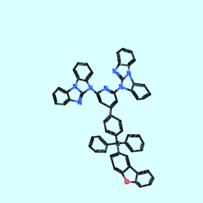 c1ccc([Si](c2ccccc2)(c2ccc(-c3cc(-n4c5ccccc5n5c6ccccc6nc45)nc(-n4c5ccccc5n5c6ccccc6nc45)c3)cc2)c2ccc3oc4ccccc4c3c2)cc1